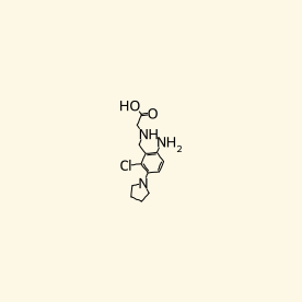 Nc1ccc(N2CCCC2)c(Cl)c1CNCC(=O)O